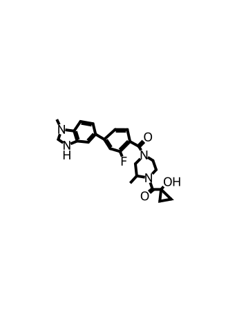 CC1CN(C(=O)c2ccc(-c3ccc4c(c3)NCN4C)cc2F)CCN1C(=O)C1(O)CC1